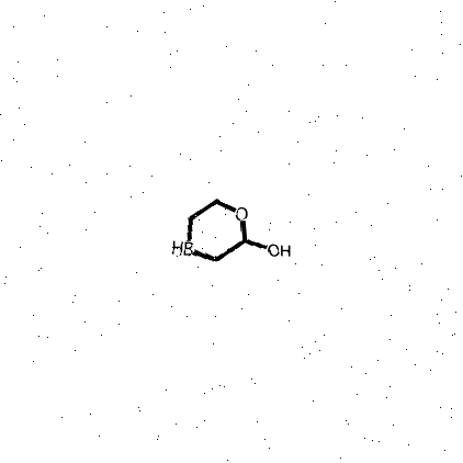 OC1CBCCO1